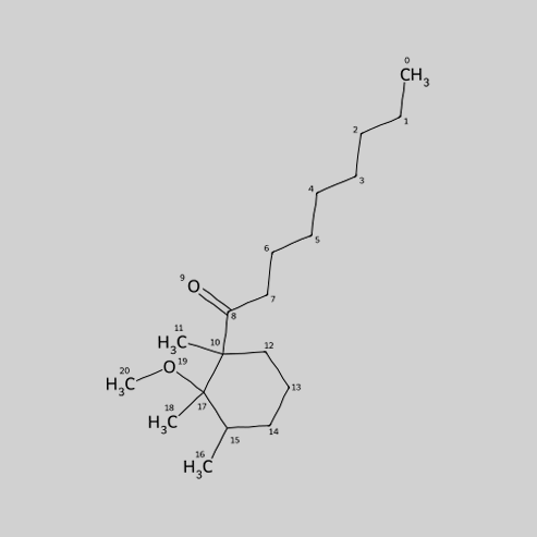 CCCCCCCCC(=O)C1(C)CCCC(C)C1(C)OC